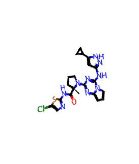 C[C@@]1(C(=O)Nc2ncc(Cl)s2)CCCN1c1nc(Nc2cc(C3CC3)[nH]n2)n2cccc2n1